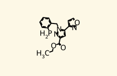 CCOC(=O)c1cc(-c2ccon2)n(Cc2ccccc2P)n1